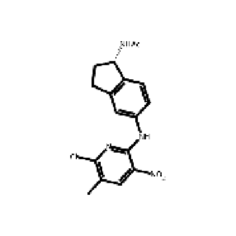 CC(=O)N[C@H]1CCc2cc(Nc3nc(Cl)c(C)cc3[N+](=O)[O-])ccc21